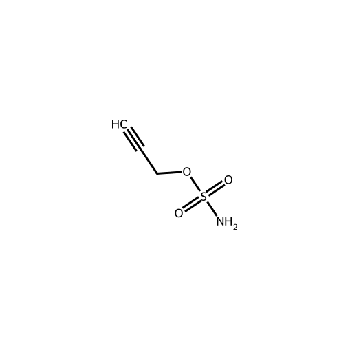 C#CCOS(N)(=O)=O